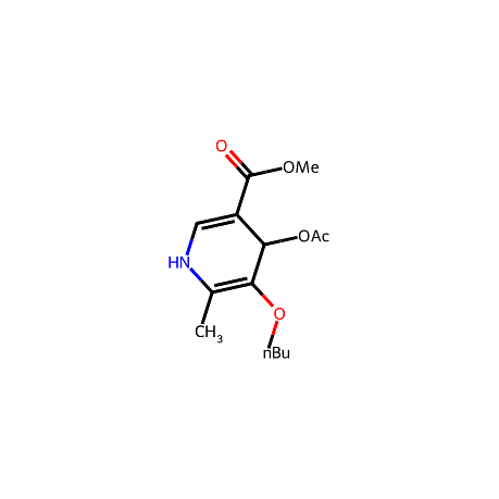 CCCCOC1=C(C)NC=C(C(=O)OC)C1OC(C)=O